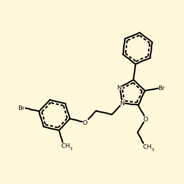 CCOc1c(Br)c(-c2ccccc2)nn1CCOc1ccc(Br)cc1C